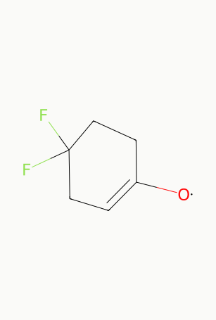 [O]C1=CCC(F)(F)CC1